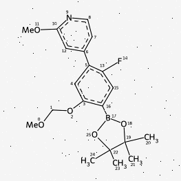 COCOc1cc(-c2ccnc(OC)c2)c(F)cc1B1OC(C)(C)C(C)(C)O1